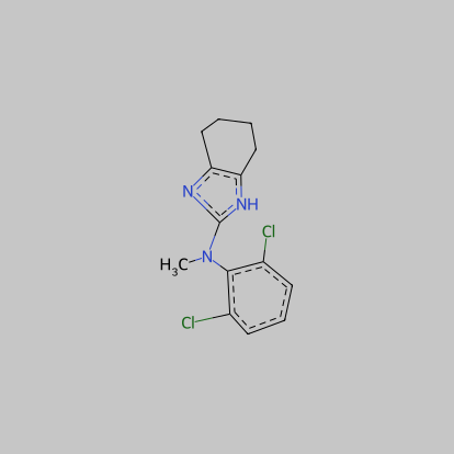 CN(c1nc2c([nH]1)CCCC2)c1c(Cl)cccc1Cl